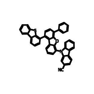 N#Cc1ccc2c3ccccc3n(-c3cccc4c3oc3c(-c5ccccc5)ccc(-c5cccc6c5sc5ccccc56)c34)c2c1